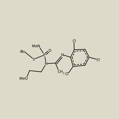 CCC(C)SP(=O)(NC)N(CCOC)C(C)=Nc1c(Cl)cc(Cl)cc1Cl